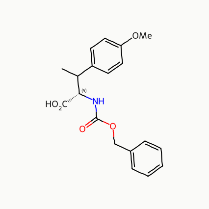 COc1ccc(C(C)[C@H](NC(=O)OCc2ccccc2)C(=O)O)cc1